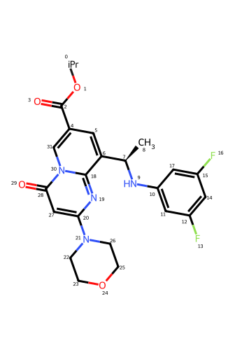 CC(C)OC(=O)c1cc([C@@H](C)Nc2cc(F)cc(F)c2)c2nc(N3CCOCC3)cc(=O)n2c1